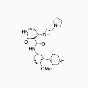 COc1ccc(NC(=O)c2c(NCCN3CCCC3)cc[nH]c2=O)cc1N1CCN(C)CC1